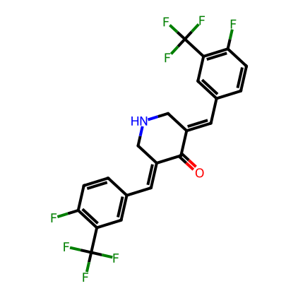 O=C1/C(=C/c2ccc(F)c(C(F)(F)F)c2)CNC/C1=C\c1ccc(F)c(C(F)(F)F)c1